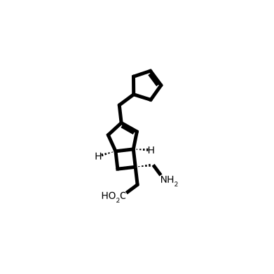 NC[C@]1(CC(=O)O)C[C@H]2CC(CC3CC=CC3)=C[C@H]21